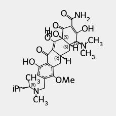 COc1c(CN(C)[C@H](C)C(C)C)cc(O)c2c1C[C@H]1C[C@H]3[C@H](N(C)C)C(O)=C(C(N)=O)C(=O)[C@@]3(O)C(O)=C1C2=O